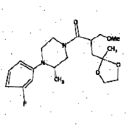 COCC(CC1(C)OCCO1)C(=O)N1CCN(c2cccc(F)c2)[C@@H](C)C1